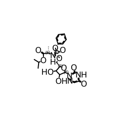 CC(C)OC(=O)[C@H](C)N[P@](=O)(OC[C@H]1O[C@@H](n2ncc(=O)[nH]c2=O)C(O)C1O)Oc1ccccc1